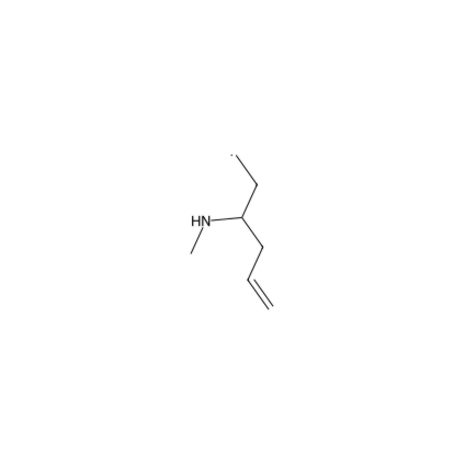 [CH2]CC(CC=C)NC